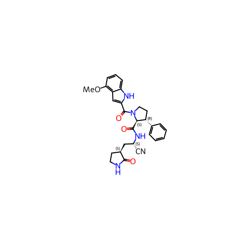 COc1cccc2[nH]c(C(=O)N3CC[C@H](c4ccccc4)[C@H]3C(=O)N[C@H](C#N)C[C@@H]3CCNC3=O)cc12